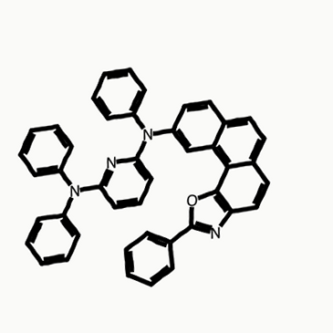 c1ccc(-c2nc3ccc4ccc5ccc(N(c6ccccc6)c6cccc(N(c7ccccc7)c7ccccc7)n6)cc5c4c3o2)cc1